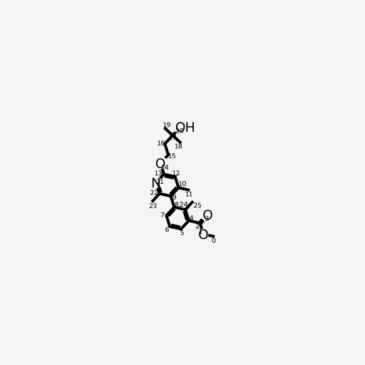 COC(=O)c1cccc(-c2c(C)cc(OCCC(C)(C)O)nc2C)c1C